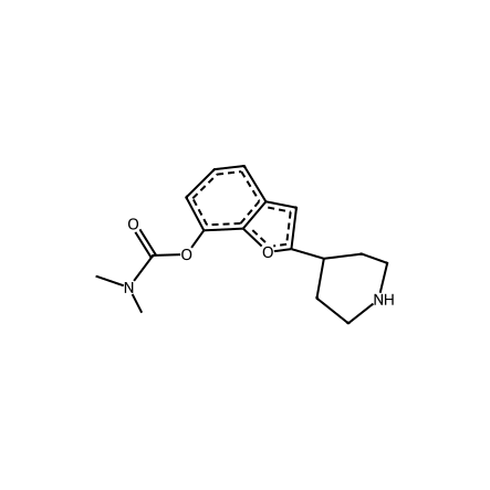 CN(C)C(=O)Oc1cccc2cc(C3CCNCC3)oc12